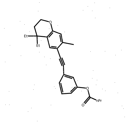 CCCC(=O)Oc1cccc(C#Cc2cc3c(cc2C)OCCC3(CC)CC)c1